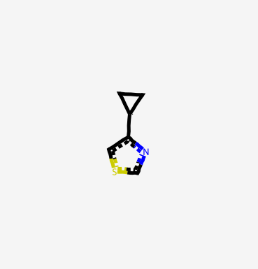 c1nc([C]2CC2)cs1